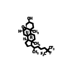 C[C@H](CCCC(F)(C(F)(F)F)C(F)(F)F)[C@H]1CC[C@H]2[C@@H]3C[C@H]4O[C@]45C[C@@H](O)CC[C@]5(C)[C@H]3CC[C@]12C